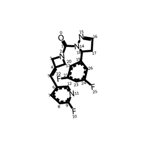 O=C(N1CC(=Cc2ccc(F)nc2)C1)N1N=CCC1c1cc(F)cc(F)c1